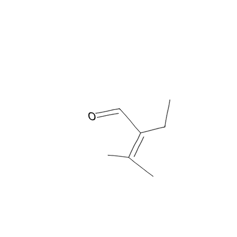 CCC(C=O)=C(C)C